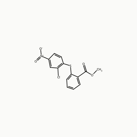 COC(=O)c1ccccc1Sc1ccc([N+](=O)[O-])cc1Cl